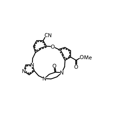 COC(=O)c1ccc2cc1CN1CCN(CC1=O)Cc1cncn1Cc1ccc(C#N)c(c1)O2